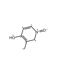 CC1=C(O)C=C[N+](=O)C1